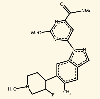 CNC(=O)c1cc(-n2ncc3cc(C)c(C4CCN(C)CC4F)cc32)nc(OC)n1